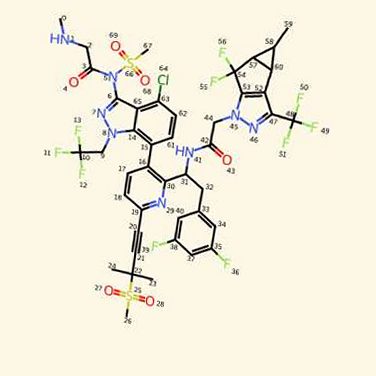 CNCC(=O)N(c1nn(CC(F)(F)F)c2c(-c3ccc(C#CC(C)(C)S(C)(=O)=O)nc3C(Cc3cc(F)cc(F)c3)NC(=O)Cn3nc(C(F)(F)F)c4c3C(F)(F)C3C(C)C43)ccc(Cl)c12)S(C)(=O)=O